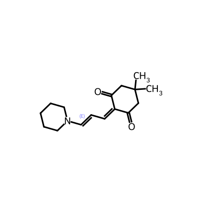 CC1(C)CC(=O)C(=C/C=C/N2CCCCC2)C(=O)C1